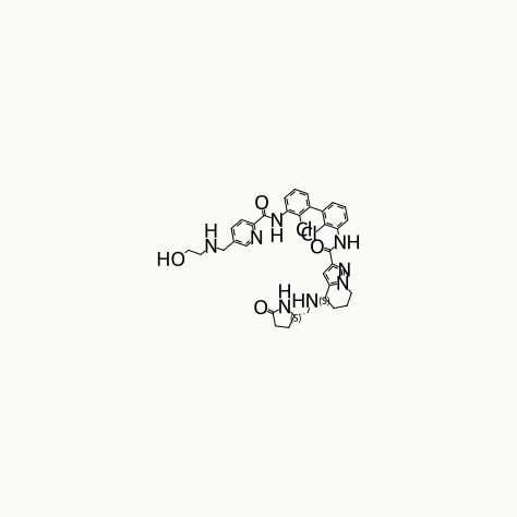 O=C1CC[C@@H](CN[C@H]2CCCn3nc(C(=O)Nc4cccc(-c5cccc(NC(=O)c6ccc(CNCCO)cn6)c5Cl)c4Cl)cc32)N1